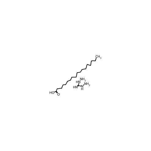 CCCCCCCCCCCCCCCCCC(=O)O.N=C(NN)NN